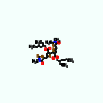 C=c1s/c(=C\c2cc(C(=O)OCC(CC)CCCC)c(-c3sc(/C=C4\SC(=S)N(C)C4=O)cc3C(=O)OCC(CC)CCCC)s2)c(=O)n1C